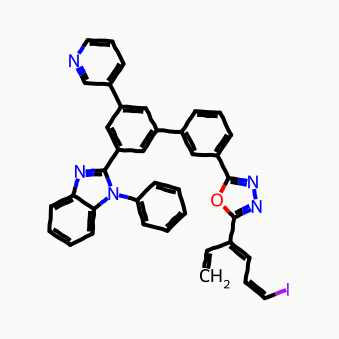 C=C/C(=C\C=C/I)c1nnc(-c2cccc(-c3cc(-c4cccnc4)cc(-c4nc5ccccc5n4-c4ccccc4)c3)c2)o1